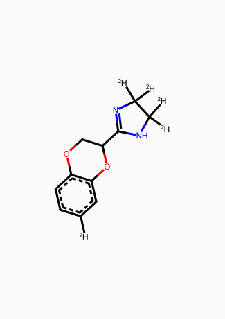 [2H]c1ccc2c(c1)OC(C1=NC([2H])([2H])C([2H])([2H])N1)CO2